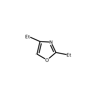 CCc1[c]oc(CC)n1